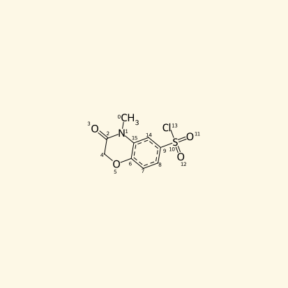 CN1C(=O)COc2ccc(S(=O)(=O)Cl)cc21